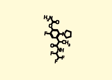 CC(C(=O)NC(F)C(F)F)c1cc(F)c(OC(N)=O)cc1N1CCCC1